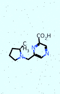 C[C@@H]1CCCN1Cc1cncc(C(=O)O)n1